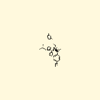 COCCCN(C(=O)OCC(C)C)[C@@H](C)c1ccc(F)cc1